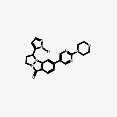 CC(C)n1nccc1C1CCn2c(=O)c3ccc(-c4cnc(N5CCOCC5)nc4)cc3n21